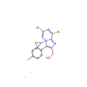 [CH]c1ccc(C2=C(CO)N=C3C(Br)=NC(Br)=C[N+]32C2CC2)cc1